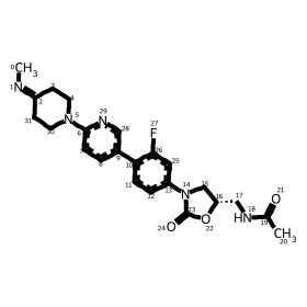 CN=C1CCN(c2ccc(-c3ccc(N4C[C@H](CNC(C)=O)OC4=O)cc3F)cn2)CC1